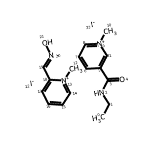 CCNC(=O)c1ccc[n+](C)c1.C[n+]1ccccc1C=NO.[I-].[I-]